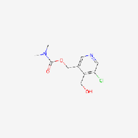 CN(C)C(=O)OCc1cncc(Cl)c1CO